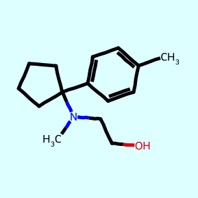 Cc1ccc(C2(N(C)CCO)CCCC2)cc1